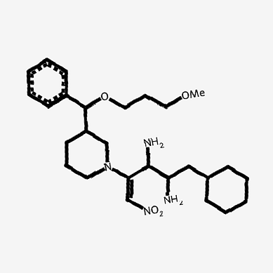 COCCCOC(c1ccccc1)C1CCCN(C(=C[N+](=O)[O-])C(N)C(N)CC2CCCCC2)C1